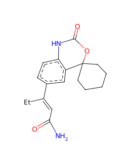 CCC(=CC(N)=O)c1ccc2c(c1)C1(CCCCC1)OC(=O)N2